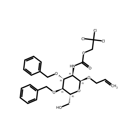 C=CCO[C@H]1O[C@H](CO)[C@@H](OCc2ccccc2)[C@H](OCc2ccccc2)[C@H]1NC(=O)OCC(Cl)(Cl)Cl